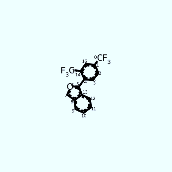 FC(F)(F)c1c[c]c(-c2occ3ccccc23)c(C(F)(F)F)c1